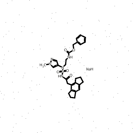 Cn1cc(N(CCNC(=O)OCc2ccccc2)S(=O)(=O)NC(=O)Cc2c3c(cc4c2CCC4)CCC3)cn1.[NaH]